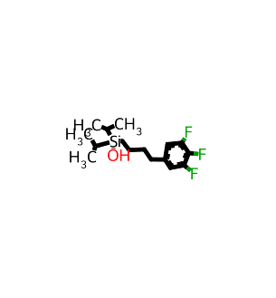 CC(C)[Si](O)(CCCCc1cc(F)c(F)c(F)c1)C(C)C